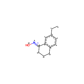 CCc1ccc2c(c1)/C(=N/O)CCC2